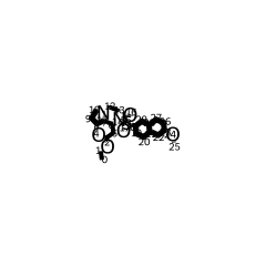 CCOC(=O)CC1c2cccn2CCN1S(=O)(=O)c1ccc2cc(OC)ccc2c1